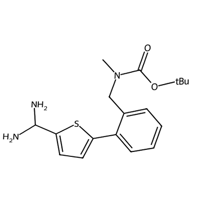 CN(Cc1ccccc1-c1ccc(C(N)N)s1)C(=O)OC(C)(C)C